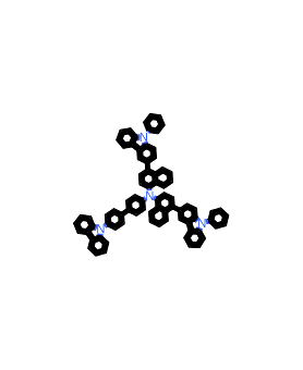 c1ccc(-n2c3ccccc3c3cc(-c4ccc(N(c5ccc(-c6ccc(-n7c8ccccc8c8ccccc87)cc6)cc5)c5ccc(-c6ccc7c(c6)c6ccccc6n7-c6ccccc6)c6ccccc56)c5ccccc45)ccc32)cc1